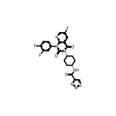 O=C(N[C@H]1CC[C@@H](n2c(=O)c3cc(F)cnc3n(-c3ccc(F)c(F)c3)c2=O)CC1)c1csnn1